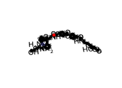 N/C1=C(\N(N)CCOCCO)c2ccccc2CN(C(=O)CCNC(=O)COc2ccc(C(=O)Oc3ccc(COC(=O)NCCCOCC(O)COP=O)cc3)cc2)c2ccccc21